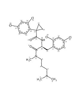 CN(C)CCCN(C)C(=O)[C@H](Cc1ccc(Cl)cc1Cl)NC(=O)C1(c2ccc(Cl)cc2Cl)CC1